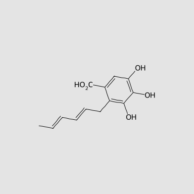 CC=CC=CCc1c(C(=O)O)cc(O)c(O)c1O